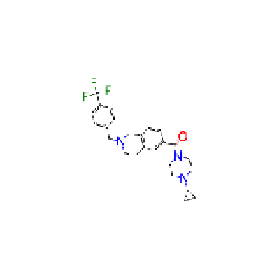 O=C(c1ccc2c(c1)CCN(Cc1ccc(C(F)(F)F)cc1)C2)N1CCN(C2CC2)CC1